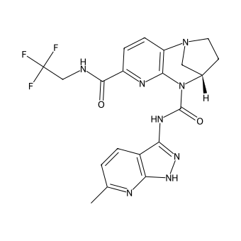 Cc1ccc2c(NC(=O)N3c4nc(C(=O)NCC(F)(F)F)ccc4N4CC[C@H]3C4)n[nH]c2n1